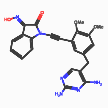 COc1cc(Cc2cnc(N)nc2N)cc(C#CN2C(=O)/C(=N/O)c3ccccc32)c1OC